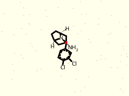 N[C@@H]1C[C@H]2CC[C@@H](C1)N2Cc1ccc(Cl)c(Cl)c1